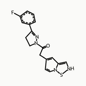 O=C(CC1=CC2=CNSN2C=C1)N1CCC(c2cccc(F)c2)=N1